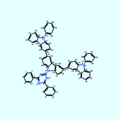 c1ccc(-c2nc(-c3ccccc3)nc(-n3c4ccc(-c5ccc6c(c5)c5ccccc5n6-c5ccccc5)cc4c4cc(-c5ccc6c(c5)c5ccccc5n6-c5ccccc5)ccc43)n2)cc1